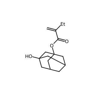 C=C(CC)C(=O)OC12CC3CC(CC(O)(C3)C1)C2